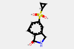 O=C1NCc2cc(S(=O)(=O)C3CC3)ccc21